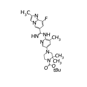 Cc1cn2cc(C(=N)Nc3ncc(N4CCN(C(=O)OC(C)(C)C)C(C)(C)C4)cc3C)cc(F)c2n1